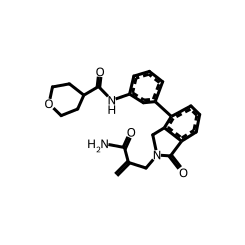 C=C(CN1Cc2c(cccc2-c2cccc(NC(=O)C3CCOCC3)c2)C1=O)C(N)=O